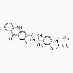 CCN1c2ccc(C(C)(C)NC(=O)c3cc4[nH]c5ccccc5c(=O)c4cc3F)cc2OCC1C